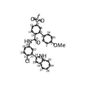 COc1ccc(-c2cc(S(C)(=O)=O)ccc2C(=O)Nc2ccc(Cl)c(-c3cc4ccccc4[nH]3)c2)cc1